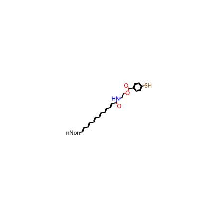 CCCCCCCCCC=CC=CC=CC=CC=CC=CC(=O)NCCOC(=O)c1ccc(S)cc1